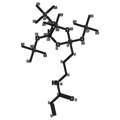 C=CC(=O)NCCC[Si](O[SiH](O[Si](C)(C)C)O[Si](C)(C)C)(O[Si](C)(C)C)O[Si](C)(C)C